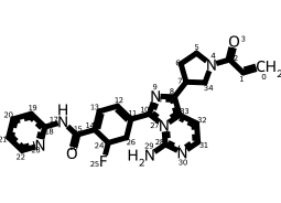 C=CC(=O)N1CCC(c2nc(C3=CC=C(C(=O)Nc4ccccn4)C(F)C3)n3c(N)nccc23)C1